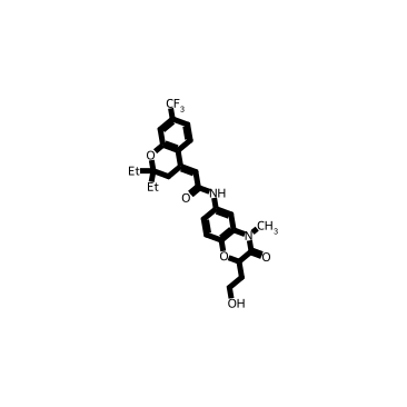 CCC1(CC)C/C(=C\C(=O)Nc2ccc3c(c2)N(C)C(=O)C(CCO)O3)c2ccc(C(F)(F)F)cc2O1